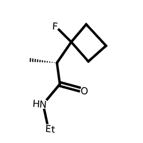 CCNC(=O)[C@H](C)C1(F)CCC1